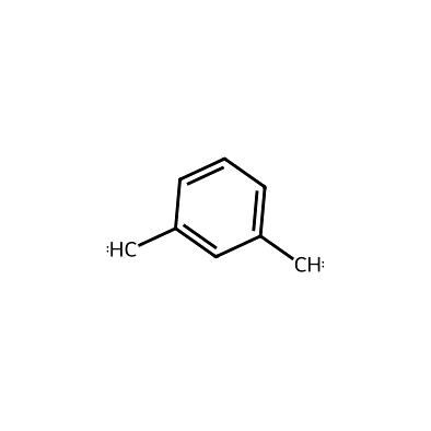 [CH]c1cccc([CH])c1